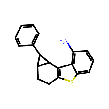 Nc1cccc2sc3c(c12)C1C(CC3)C1c1ccccc1